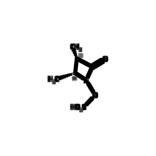 C[C@@H]1C(=O)N(OS(=O)(=O)O)[C@@H]1C